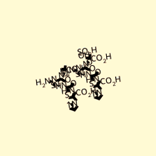 CN1C=CCN1CC1=C(C(=O)O)N2C(=O)[C@@H](NC(=O)/C(=N\OC(C)(C)C(=O)O)c3nsc(N)n3)[C@H]2SC1.CN1C=CCN1CC1=C(C(=O)O)N2C(=O)[C@@H](NC(=O)/C(=N\OC(C)(C)C(=O)O)c3nsc(N)n3)[C@H]2SC1.O=S(=O)(O)O